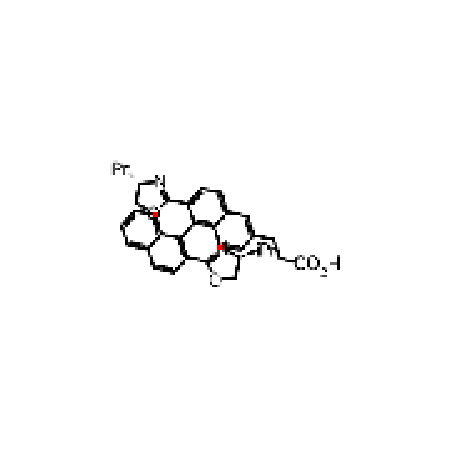 CC(C)[C@H]1COC(c2ccc3ccccc3c2-c2c(C3=N[C@@H](C(C)C)CO3)ccc3cc(CCC(=O)O)ccc23)=N1